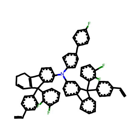 C=Cc1ccc(C2(c3cccc(F)c3F)C3=C(CCC=C3)c3ccc(N(c4ccc(-c5ccc(F)cc5)cc4)c4ccc5c(c4)C(c4ccc(C=C)cc4)(c4cccc(F)c4F)c4ccccc4-5)cc32)cc1